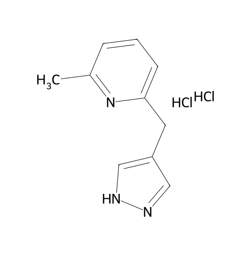 Cc1cccc(Cc2cn[nH]c2)n1.Cl.Cl